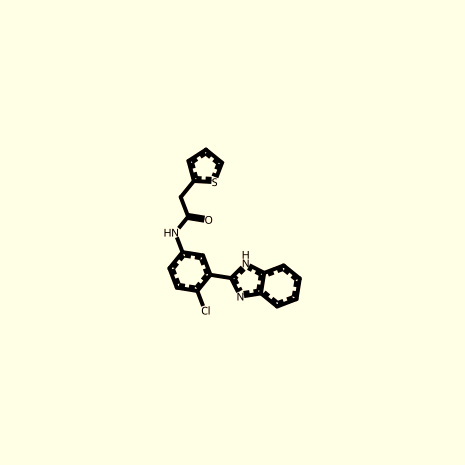 O=C(Cc1cccs1)Nc1ccc(Cl)c(-c2nc3ccccc3[nH]2)c1